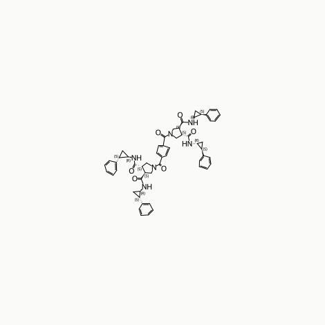 O=C(N[C@@H]1C[C@H]1c1ccccc1)[C@@H]1CN(C(=O)c2ccc(C(=O)N3C[C@@H](C(=O)N[C@@H]4C[C@H]4c4ccccc4)[C@H](C(=O)N[C@@H]4C[C@H]4c4ccccc4)C3)cc2)C[C@H]1C(=O)N[C@@H]1C[C@H]1c1ccccc1